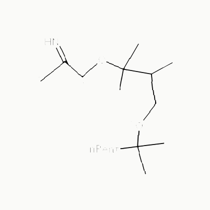 CCCCCC(C)(C)OCC(C)C(C)(C)OCC(C)=N